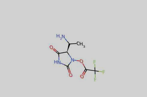 CC(N)[C@@H]1C(=O)NC(=O)N1OC(=O)C(F)(F)F